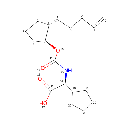 C=CCCC[C@H]1CCC[C@@H]1OC(=O)N[C@H](C(=O)O)C1CCCC1